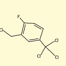 Fc1ccc(C(Cl)(Cl)Cl)cc1CCl